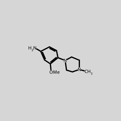 COc1cc(N)ccc1N1CCN(C)CC1